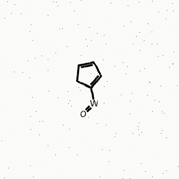 [O]=[W][C]1=CC=CC1